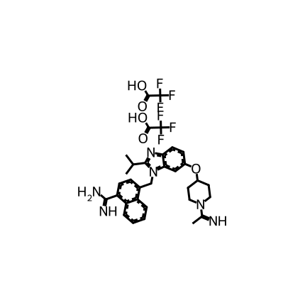 CC(=N)N1CCC(Oc2ccc3nc(C(C)C)n(Cc4ccc(C(=N)N)c5ccccc45)c3c2)CC1.O=C(O)C(F)(F)F.O=C(O)C(F)(F)F